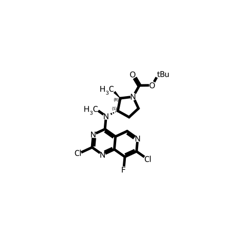 C[C@@H]1[C@@H](N(C)c2nc(Cl)nc3c(F)c(Cl)ncc23)CCN1C(=O)OC(C)(C)C